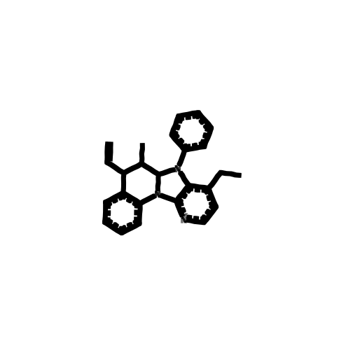 C=CC1c2ccccc2N2c3nccc(CC)c3N(c3ccccc3)C2C1C